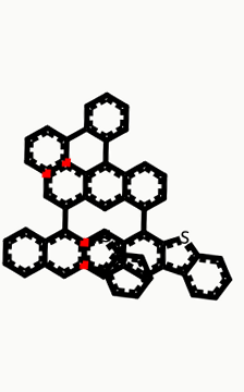 c1ccc(-c2ccccc2-c2c3cccc(-c4c5ccccc5cc5c4sc4ccccc45)c3cc3c(-c4c5ccccc5cc5c4sc4ccccc45)cccc23)cc1